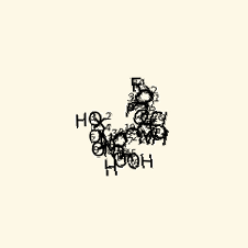 CC(C)(O)CC(=O)n1c(=O)[nH]c2c(C(=O)CO)cc(Cc3c[nH]c(=O)c(Cl)c3OCc3ccc(F)cc3F)cc21